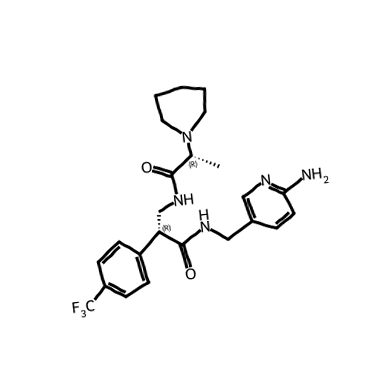 C[C@H](C(=O)NC[C@H](C(=O)NCc1ccc(N)nc1)c1ccc(C(F)(F)F)cc1)N1CCCCC1